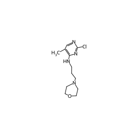 Cc1cnc(Cl)nc1NCCCN1CCOCC1